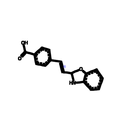 O=C(O)c1ccc(/C=C/[C]2Nc3ccccc3O2)cc1